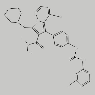 CON(C)C(=O)c1c(-c2ccc(NC(=O)Nc3cc(C(F)(F)F)ccn3)cc2)c2c(N)ncnn2c1CN1CCOCC1